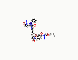 CCOCCNC(=O)C1CCC(CN2C(=O)CC(SCCCCC[C@H](NC(=O)[C@H]3CCC(=O)N3)C(=O)Nc3ccccc3)C2=O)CC1